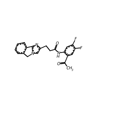 CC(=O)c1cc(F)c(F)cc1NC(=O)CCc1cn2c(n1)-c1ccccc1C2